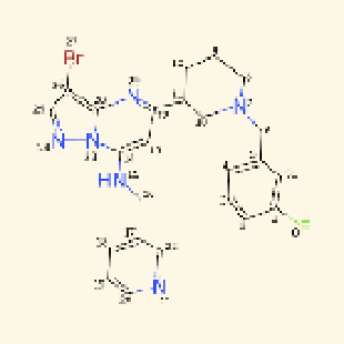 Fc1cccc(CN2CCCC(c3cc(NCc4cccnc4)n4ncc(Br)c4n3)C2)c1